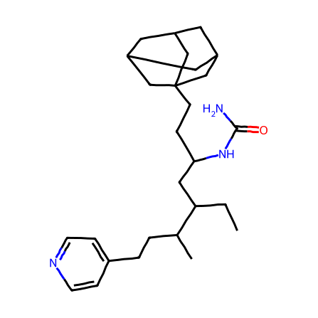 CCC(CC(CCC12CC3CC(CC(C3)C1)C2)NC(N)=O)C(C)CCc1ccncc1